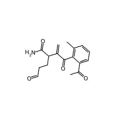 C=C(C(=O)c1c(C)cccc1C(C)=O)C(CCC=O)C(N)=O